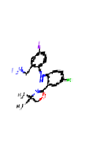 CC1(C)COC(c2cc(Cl)ccc2Nc2ccc(I)cc2CN)=N1